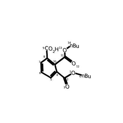 CCCCOC(=O)c1cccc(C(=O)O)c1C(=O)OCCCC